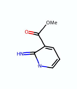 COC(=O)C1=CC=C[N]C1=N